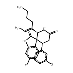 CC=C(CCCC)[C@H]1NC(=O)C[C@@H](c2cccc(Cl)c2)[C@]12C(=O)Nc1cc(Cl)ccc12